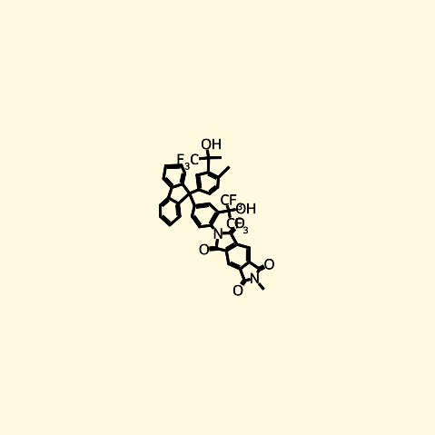 Cc1ccc(C2(c3ccc(-n4c(=O)c5cc6c(=O)n(C)c(=O)c6cc5c4=O)c(C(O)(C(F)(F)F)C(F)(F)F)c3)c3ccccc3-c3ccccc32)cc1C(C)(O)C(F)(F)F